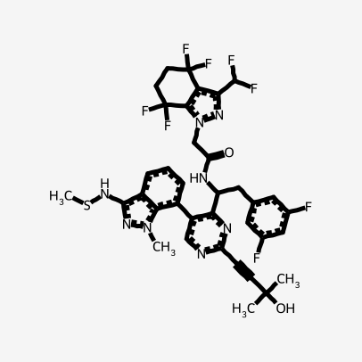 CSNc1nn(C)c2c(-c3cnc(C#CC(C)(C)O)nc3C(Cc3cc(F)cc(F)c3)NC(=O)Cn3nc(C(F)F)c4c3C(F)(F)CCC4(F)F)cccc12